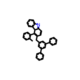 Cc1ccccc1C1=C(Cc2cc(-c3ccccc3)cc(-c3ccccc3)c2)C=CC2=Nc3ccccc3C21